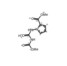 C=C(NC(=O)OC)Nn1cccc1C(=O)OC